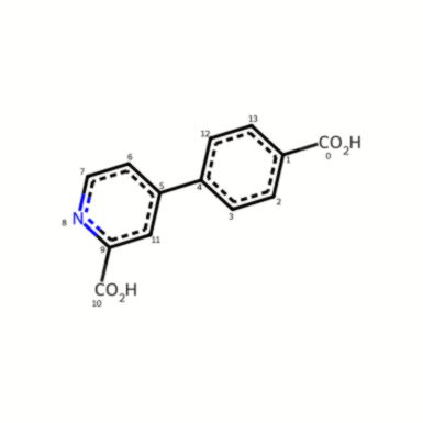 O=C(O)c1ccc(-c2ccnc(C(=O)O)c2)cc1